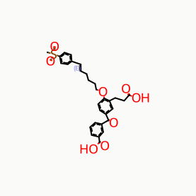 CS(=O)(=O)c1ccc(/C=C/CCCCOc2ccc(C(=O)c3cccc(C(=O)O)c3)cc2CCC(=O)O)cc1